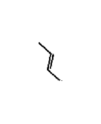 [CH2]/C=C/C